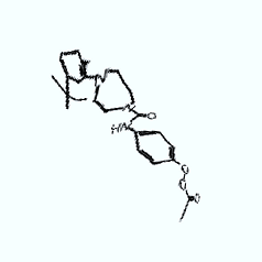 CC(=O)OOc1ccc(NC(=O)N2CCN(c3ccccc3C(C)(C)C)CC2)cc1